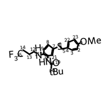 COc1ccc(CSc2ccc(NCCCC(F)(F)F)c(NC(=O)C(C)(C)C)c2)cc1